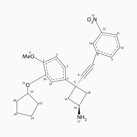 COc1ccc([C@]2(C#Cc3cccc([N+](=O)[O-])c3)C[C@H](N)C2)cc1OC1CCCC1